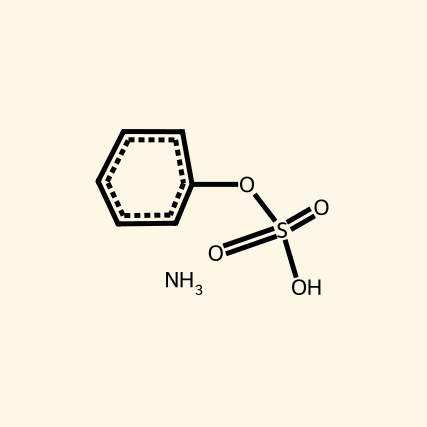 N.O=S(=O)(O)Oc1ccccc1